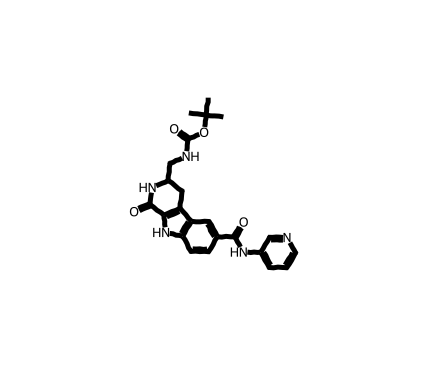 CC(C)(C)OC(=O)NCC1Cc2c([nH]c3ccc(C(=O)Nc4cccnc4)cc23)C(=O)N1